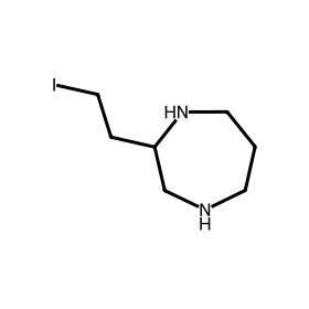 ICCC1CNCCCN1